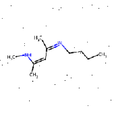 CCCCN=C(C)C=C(C)NC